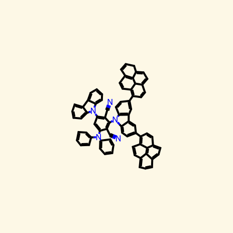 N#Cc1c(N(c2ccccc2)c2ccccc2)cc(-n2c3ccccc3c3ccccc32)c(C#N)c1-n1c2ccc(C3=C4C=CC5=C6C(=CC=C(C=C3)C46)CC=C5)cc2c2cc(-c3ccc4ccc5cccc6ccc3c4c56)ccc21